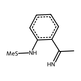 CSNc1ccccc1C(C)=N